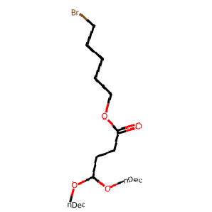 CCCCCCCCCCOC(CCC(=O)OCCCCCBr)OCCCCCCCCCC